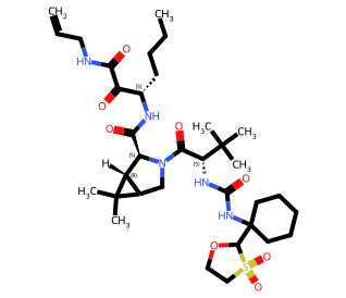 C=CCNC(=O)C(=O)[C@H](CCCC)NC(=O)[C@@H]1[C@@H]2C(CN1C(=O)[C@@H](NC(=O)NC1(C3OCCS3(=O)=O)CCCCC1)C(C)(C)C)C2(C)C